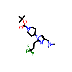 CN(C)Cc1cn(C2CCN(C(=O)OC(C)(C)C)CC2)c(CCC(F)(F)F)n1